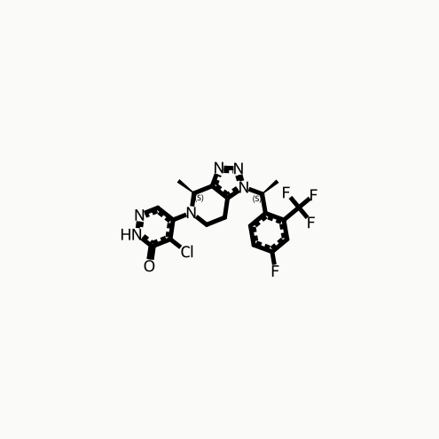 C[C@H]1c2nnn([C@@H](C)c3ccc(F)cc3C(F)(F)F)c2CCN1c1cn[nH]c(=O)c1Cl